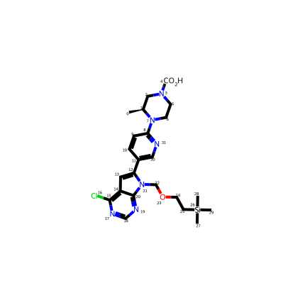 C[C@H]1CN(C(=O)O)CCN1c1ccc(-c2cc3c(Cl)ncnc3n2COCC[Si](C)(C)C)cn1